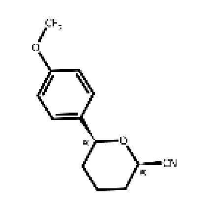 N#C[C@H]1CCC[C@@H](c2ccc(OC(F)(F)F)cc2)O1